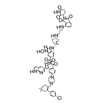 CC1(C)CCC(CN2CCN(c3ccc(C(=O)NS(=O)(=O)c4ccc(NC[C@H]5CC[C@@H](NCCCNc6cccc7c6C(=O)N(C6CCC(=O)NC6=O)C7=O)CC5)c(NO)c4)c(Oc4cnc5[nH]ccc5c4)c3)CC2)=C(c2ccc(Cl)cc2)C1